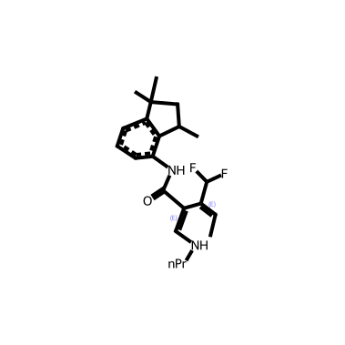 C/C=C(\C(=C/NCCC)C(=O)Nc1cccc2c1C(C)CC2(C)C)C(F)F